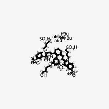 CC1(C)C(=CC=C2CCCC(C=CC3=[N+](CCCCS(=O)(=O)O)c4ccc(S(=O)(=O)[O-])cc4C3(C)C)=C2c2cccc(OCCCCO)c2)N(CCCCS(=O)(=O)O)c2ccc(S(=O)(=O)[O-])cc21.CCCC[N+](CCCC)(CCCC)CCCC